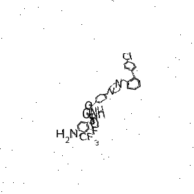 Nc1ccc(S(=O)(=O)NC(=O)c2ccc(N3CCN(Cc4ccccc4-c4ccc(Cl)cc4)CC3)cc2)c(F)c1C(F)(F)F